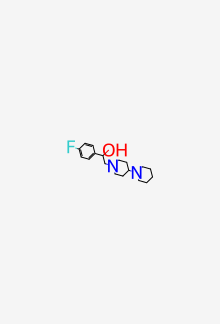 OC(CN1CCC(N2CCCCC2)CC1)c1ccc(F)cc1